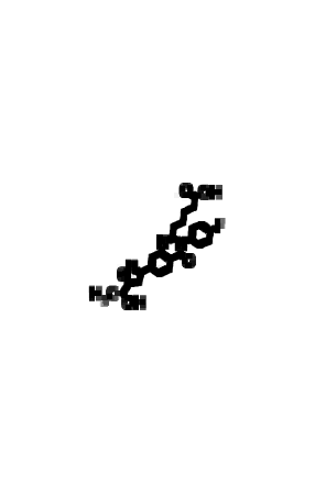 C[C@@H](O)c1cc(-c2ccc3c(=O)n(-c4ccc(F)cc4)c(CCCCC(=O)O)nc3c2)no1